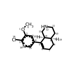 COc1cc(C2=CCC[C@@H]3CCNC[C@H]23)cnc1Cl